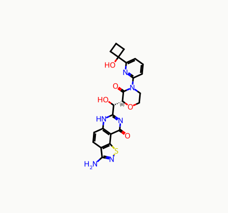 Nc1nsc2c1ccc1[nH]c(C(O)[C@H]3OCCN(c4cccc(C5(O)CCC5)n4)C3=O)nc(=O)c12